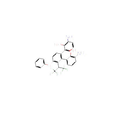 Nc1cccc(-c2ccc(Oc3ccccc3)c(C(C(F)(F)F)C(F)(F)F)c2-c2cccc(N)c2O)c1O